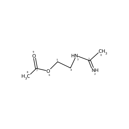 CC(=N)NCCOC(C)=O